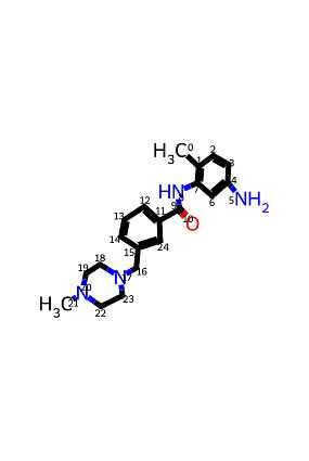 Cc1ccc(N)cc1NC(=O)c1cccc(CN2CCN(C)CC2)c1